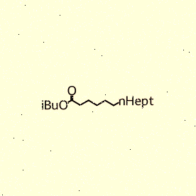 CCCCCCCCCCCCC(=O)OCC(C)C